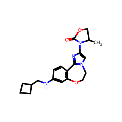 CC1COC(=O)N1c1cn2c(n1)-c1ccc(NCC3CCC3)cc1OCC2